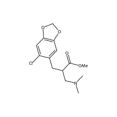 COC(=O)C(Cc1cc2c(cc1Cl)OCO2)CN(C)C